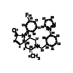 C[C@@H]1C[C@]2(C=CC(=O)N2c2cccc(F)c2)CCN1Cc1cccc(-n2cccn2)c1